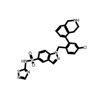 O=S(=O)(Nc1ncns1)c1ccc2c(cnn2Cc2ccc(Cl)cc2-c2cccc3c2CCNC3)c1